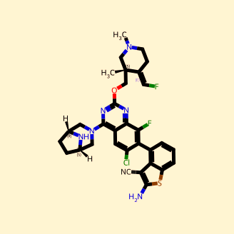 CN1CC/C(=C\F)[C@](C)(COc2nc(N3C[C@H]4CC[C@@H](C3)N4)c3cc(Cl)c(-c4cccc5sc(N)c(C#N)c45)c(F)c3n2)C1